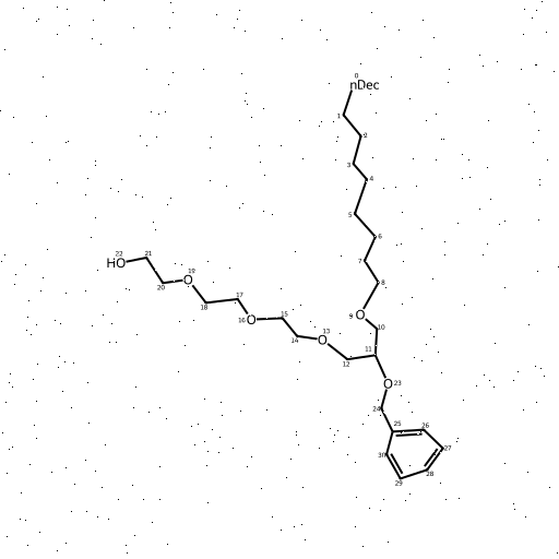 CCCCCCCCCCCCCCCCCCOCC(COCCOCCOCCO)OCc1ccccc1